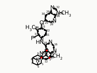 C=CC(=O)N1CC2CC(C1)N2c1ccc2ncnc(Nc3ccc(Oc4cnc5c(c4)ncn5C)c(C)c3F)c2n1